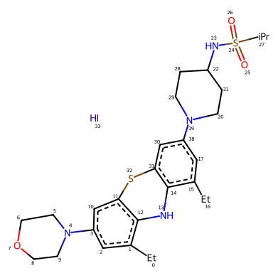 CCc1cc(N2CCOCC2)cc2c1Nc1c(CC)cc(N3CCC(NS(=O)(=O)C(C)C)CC3)cc1S2.I